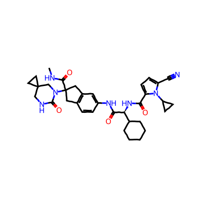 CNC(=O)C1(N2CC3(CC3)CNC2=O)Cc2ccc(NC(=O)[C@@H](NC(=O)c3ccc(C#N)n3C3CC3)C3CCCCC3)cc2C1